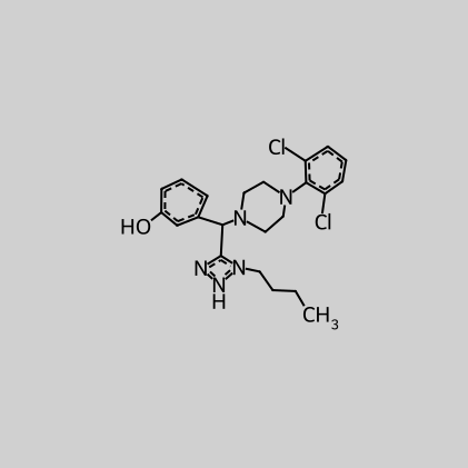 CCCCn1[nH]nc1C(c1cccc(O)c1)N1CCN(c2c(Cl)cccc2Cl)CC1